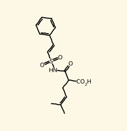 CC(C)=CCC(C(=O)O)C(=O)NS(=O)(=O)C=Cc1ccccc1